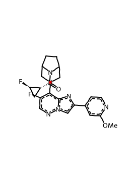 COc1cc(-c2cn3ncc(F)c(N4CC5CCC(C4)N5C(=O)[C@@H]4C[C@H]4F)c3n2)ccn1